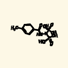 Cc1ccc(C(=O)NN(P(=O)(O)O)P(=O)(O)O)cc1